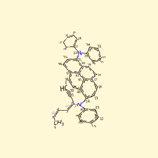 C#C/C(=C\C=C/C)N(c1ccccc1)c1ccc2ccc3c(N(C4=CC=CCC4)c4ccccc4)ccc4ccc1c2c43